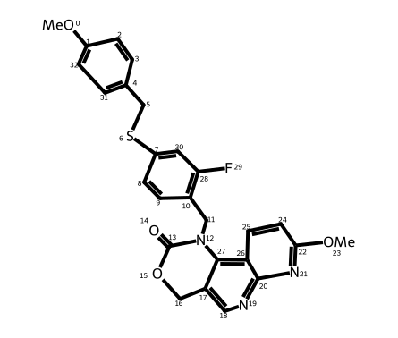 COc1ccc(CSc2ccc(CN3C(=O)OCc4cnc5nc(OC)ccc5c43)c(F)c2)cc1